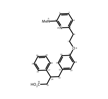 CNc1cccc(CCOc2ccc(CC(CC(=O)O)c3ccccc3)cc2)n1